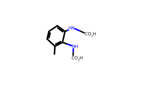 Cc1cccc(NC(=O)O)c1NC(=O)O